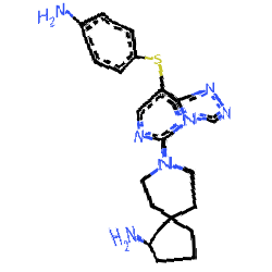 Nc1ccc(Sc2cnc(N3CCC4(CCC[C@H]4N)CC3)n3cnnc23)cc1